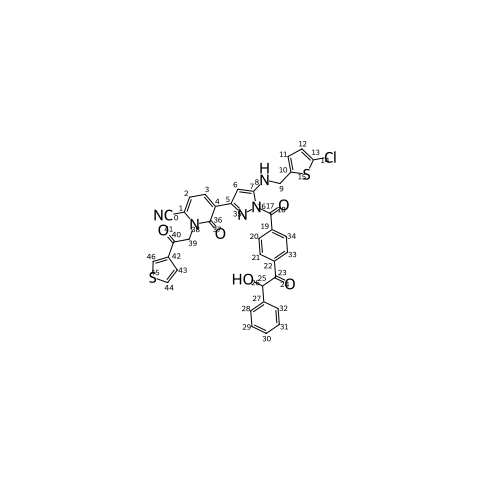 N#Cc1ccc(-c2cc(NCc3ccc(Cl)s3)n(C(=O)c3ccc(C(=O)C(O)c4ccccc4)cc3)n2)c(=O)n1CC(=O)c1ccsc1